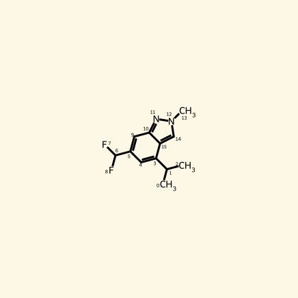 CC(C)c1cc(C(F)F)cc2nn(C)cc12